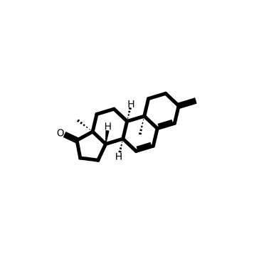 C=C1C=C2C=C[C@@H]3[C@@H](CC[C@]4(C)C(=O)CC[C@@H]34)[C@@]2(C)CC1